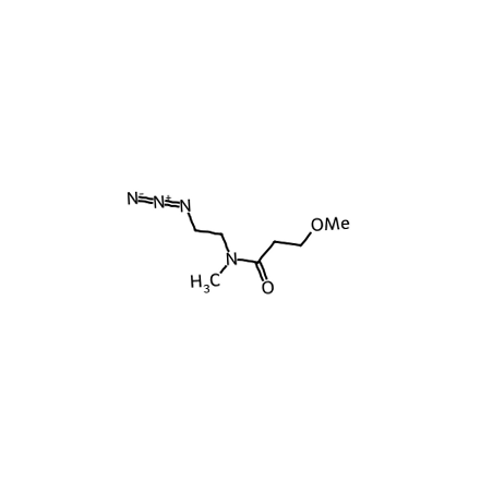 COCCC(=O)N(C)CCN=[N+]=[N-]